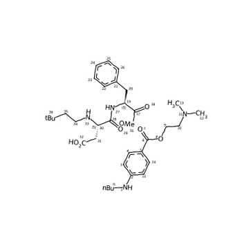 CCCCNc1ccc(C(=O)OCCN(C)C)cc1.COC(=O)[C@H](Cc1ccccc1)NC(=O)[C@H](CC(=O)O)NCCC(C)(C)C